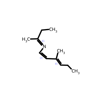 CC/C=C(C)/C=C\N=C(/C)CC